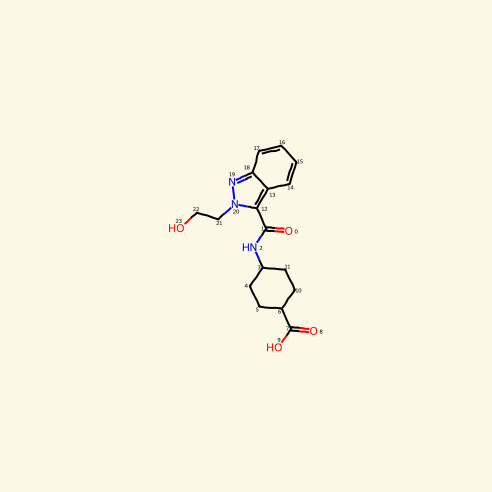 O=C(NC1CCC(C(=O)O)CC1)c1c2ccccc2nn1CCO